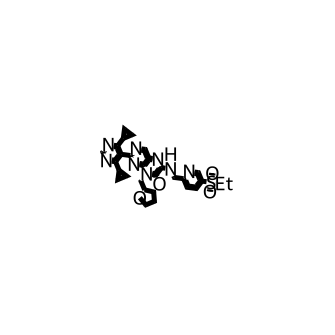 CCS(=O)(=O)c1ccc(CNc2nc3cnc(-c4c(C5CC5)ncnc4C4CC4)nc3n(CC3CCCO3)c2=O)nc1